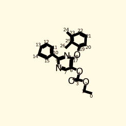 CCOC(=O)Oc1cnc(-c2ccccc2)nc1Oc1cccc(C)c1C